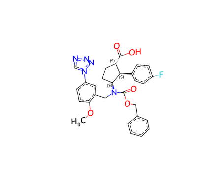 COc1ccc(-n2cnnn2)cc1CN(C(=O)OCc1ccccc1)[C@H]1CC[C@H](C(=O)O)[C@H]1c1ccc(F)cc1